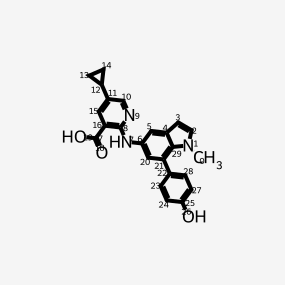 Cn1ccc2cc(Nc3ncc(C4CC4)cc3C(=O)O)cc(-c3ccc(O)cc3)c21